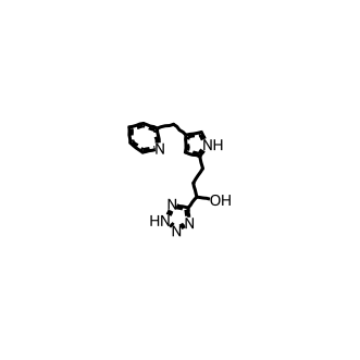 OC(CCc1cc(Cc2ccccn2)c[nH]1)c1nn[nH]n1